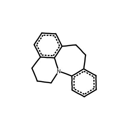 c1ccc2c(c1)CCc1cccc3c1N2CCC3